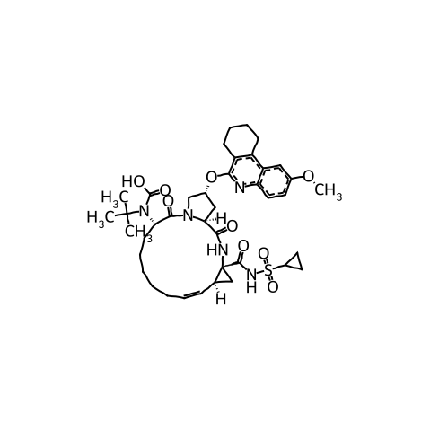 COc1ccc2nc(O[C@@H]3C[C@H]4C(=O)N[C@]5(C(=O)NS(=O)(=O)C6CC6)C[C@H]5C=CCCCCC[C@H](N(C(=O)O)C(C)(C)C)C(=O)N4C3)c3c(c2c1)CCCC3